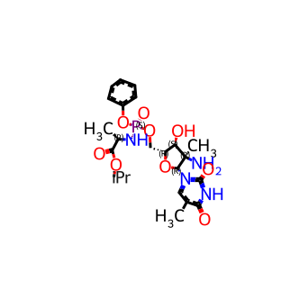 Cc1cn([C@@H]2O[C@H](CO[P@@](=O)(N[C@H](C)C(=O)OC(C)C)Oc3ccccc3)[C@@H](O)[C@@]2(C)N)c(=O)[nH]c1=O